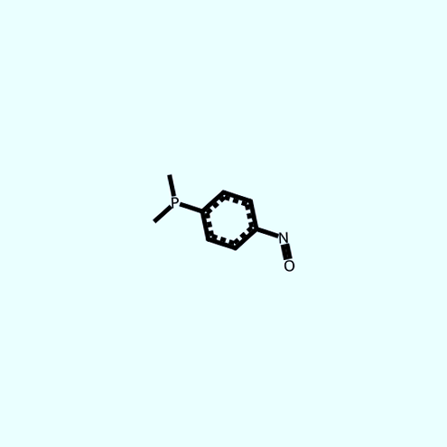 CP(C)c1ccc(N=O)cc1